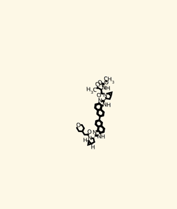 COC(=O)N[C@H](C(=O)N1C2CC2C[C@H]1c1nc2ccc3cc(-c4ccc5c(ccc6[nH]c([C@@H]7C[C@H]8C[C@H]8N7C(=O)CC7CCOCC7)nc65)c4)ccc3c2[nH]1)C(C)C